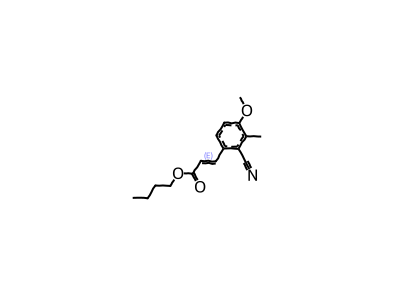 CCCCOC(=O)/C=C/c1ccc(OC)c(C)c1C#N